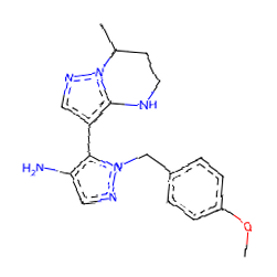 COc1ccc(Cn2ncc(N)c2-c2cnn3c2NCCC3C)cc1